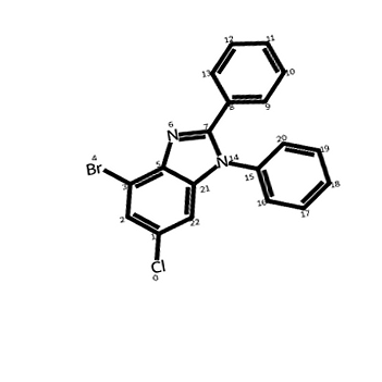 Clc1cc(Br)c2nc(-c3ccccc3)n(-c3ccccc3)c2c1